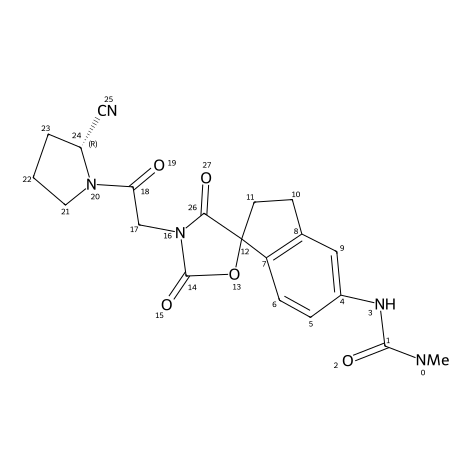 CNC(=O)Nc1ccc2c(c1)CCC21OC(=O)N(CC(=O)N2CCC[C@@H]2C#N)C1=O